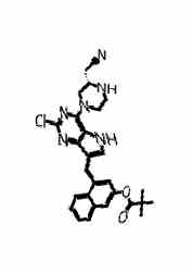 CC(C)(C)C(=O)Oc1cc(Cc2c[nH]c3c(N4CCN[C@@H](CC#N)C4)nc(Cl)nc23)c2ccccc2c1